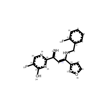 N=C(/C=C(\NCc1ccccc1F)c1ccon1)c1ncc(F)c(O)n1